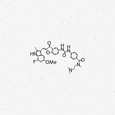 COc1cc(F)c2[nH]c(C)c(C=C3Oc4ccc(NC(=O)Nc5ccc(C(=O)N(C)CCN(C)C)cc5)cc4C3=O)c2c1